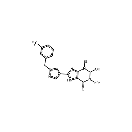 CCCN1C(=O)c2[nH]c(-c3cnn(Cc4cccc(C(F)(F)F)c4)c3)nc2N(CC)C1O